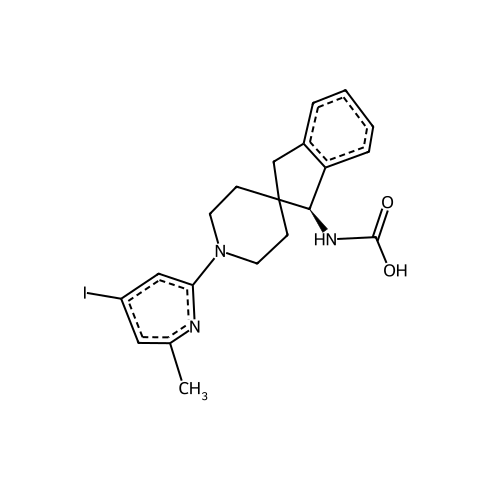 Cc1cc(I)cc(N2CCC3(CC2)Cc2ccccc2[C@H]3NC(=O)O)n1